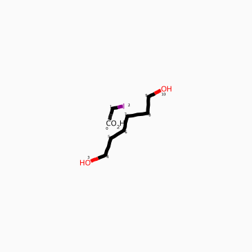 O=C(O)CI.OCCCCCCO